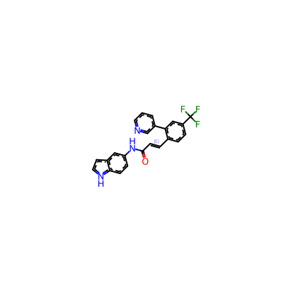 O=C(/C=C/c1ccc(C(F)(F)F)cc1-c1cccnc1)Nc1ccc2[nH]ccc2c1